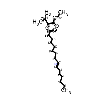 CCCCCC/C=C/CCCCCCCC(=O)OC(C(=O)OCC)C(C)C